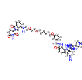 C[C@@H](NC(=O)c1cccc(NC2(c3nnc(-c4ccncc4)[nH]3)CCNCC2)c1)c1cccc(OCCCCCCOCCOCCNc2cccc3c2CN(C2CCC(=O)NC2=O)C3=O)c1